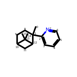 CC1(c2ccccn2)CCC2CC1C2(C)C